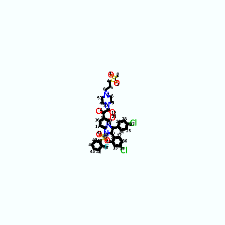 CS(=O)(=O)CCCN1CCN(C(=O)C(=O)c2ccc3n(c2=O)C(c2ccc(Cl)cc2)C(c2ccc(Cl)cc2)N3S(=O)(=O)c2ccccc2F)CC1